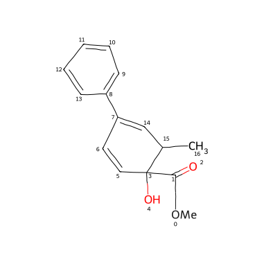 COC(=O)C1(O)C=CC(c2ccccc2)=CC1C